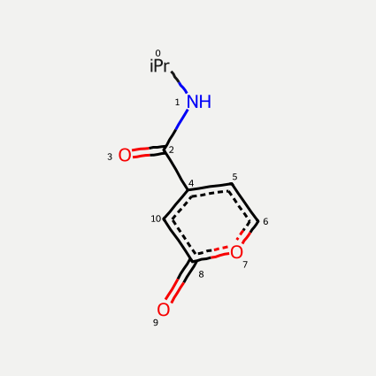 CC(C)NC(=O)c1ccoc(=O)c1